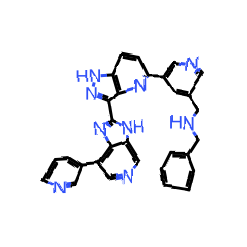 c1ccc(CNCc2cncc(-c3ccc4[nH]nc(-c5nc6c(-c7cccnc7)cncc6[nH]5)c4n3)c2)cc1